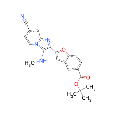 CNc1c(-c2cc3cc(C(=O)OC(C)(C)C)ccc3o2)nc2cc(C#N)ccn12